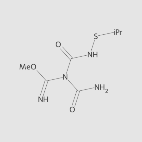 COC(=N)N(C(N)=O)C(=O)NSC(C)C